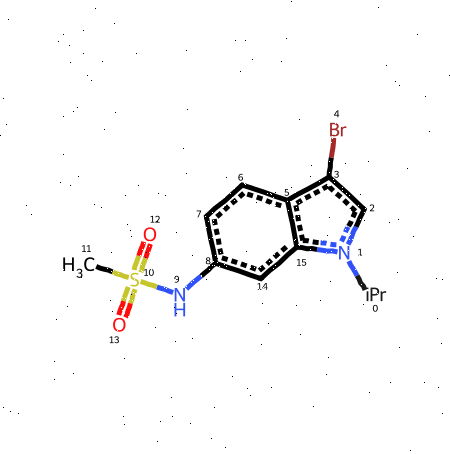 CC(C)n1cc(Br)c2ccc(NS(C)(=O)=O)cc21